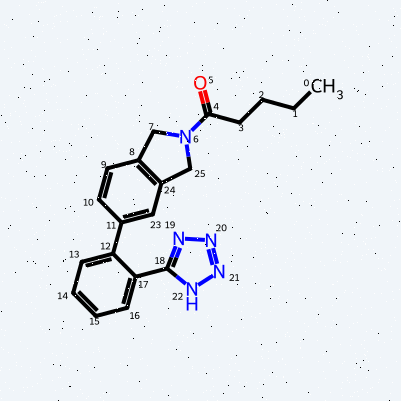 CCCCC(=O)N1Cc2ccc(-c3ccccc3-c3nnn[nH]3)cc2C1